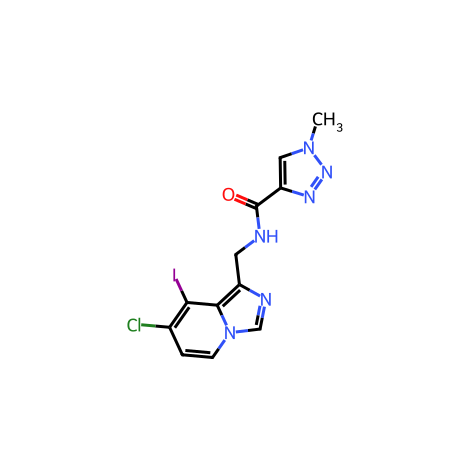 Cn1cc(C(=O)NCc2ncn3ccc(Cl)c(I)c23)nn1